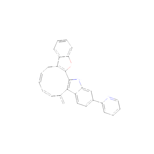 C=C1/C=C\C=C/Cc2c(oc3ccccc23)-c2[nH]c3cc(-c4ccccn4)ccc3c21